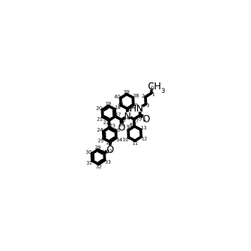 CCCCNC(=O)C(C1CCCCC1)N(C(=O)c1ccccc1-c1ccc(Oc2ccccc2)cc1)C1CCCCC1